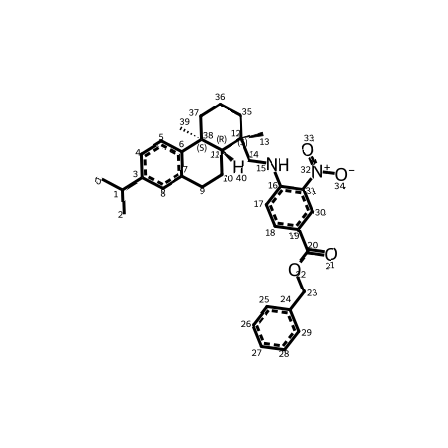 CC(C)c1ccc2c(c1)CC[C@H]1[C@@](C)(CNc3ccc(C(=O)OCc4ccccc4)cc3[N+](=O)[O-])CCC[C@]21C